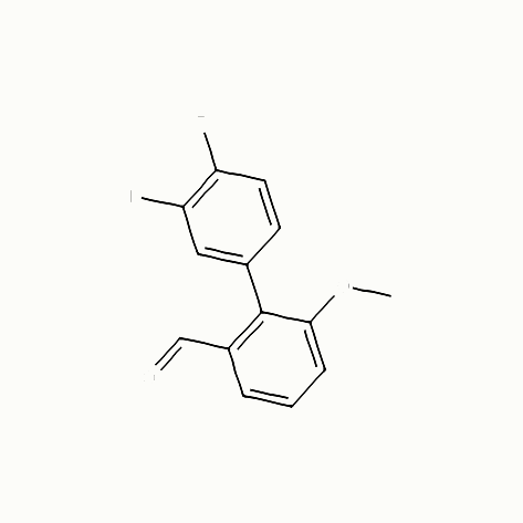 COc1cccc(C=O)c1-c1ccc(F)c(F)c1